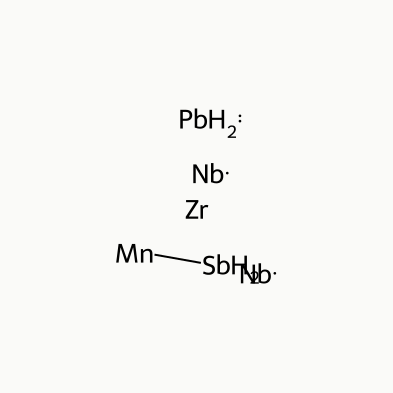 [Mn][SbH2].[Nb].[Nb].[PbH2].[Zr]